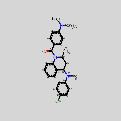 CCOC(=O)N(C)c1ccc(C(=O)N2c3ccccc3C(N(C(C)=O)c3ccc(Cl)cc3)C[C@@H]2C)cc1